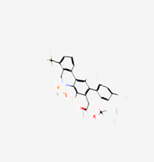 Cc1ccc(-c2c(C)c3c(c(C)c2[C@H](OC(C)(C)C)C(=O)O)N(S(C)(=O)=O)Cc2c-3cccc2C(F)(F)F)cc1